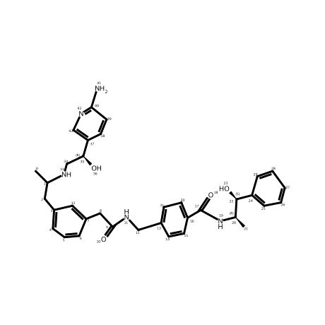 CC(Cc1cccc(CC(=O)NCc2ccc(C(=O)N[C@H](C)[C@@H](O)c3ccccc3)cc2)c1)NC[C@H](O)c1ccc(N)nc1